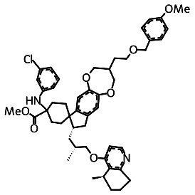 COC(=O)C1(Nc2cccc(Cl)c2)CCC2(CC1)c1cc3c(cc1C[C@@H]2C[C@@H](C)COc1ccnc2c1[C@H](C)CCC2)OCC(CCOCc1ccc(OC)cc1)CO3